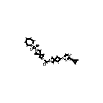 O=C(N1CC2(CC(n3cnc(C4CC4)n3)C2)C1)N1CC2(C1)CN(S(=O)(=O)N1CCCCC1)C2